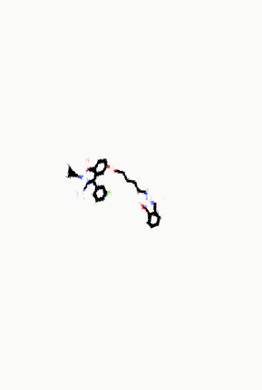 N#Cc1c(-c2cccc(F)c2)c2cc(OCCCCCCN3C(=O)c4ccccc4C3=O)ccc2c(=O)n1C1CC1